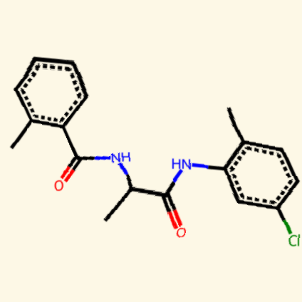 Cc1ccc(Cl)cc1NC(=O)C(C)NC(=O)c1ccccc1C